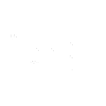 COc1ccc(N)cc1N1CCN(CCN(C(=O)C2CCCCC2)c2ccccn2)CC1